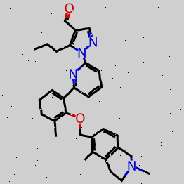 CCCc1c(C=O)cnn1-c1cccc(C2=CCCC(C)=C2OCc2ccc3c(c2C)CCN(C)C3)n1